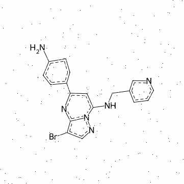 Nc1ccc(-c2cc(NCc3cccnc3)n3ncc(Br)c3n2)cc1